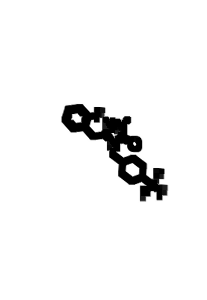 Cn1nc(Cc2ccccc2F)n(CC2CCC(C(F)(F)F)CC2)c1=O